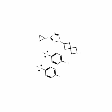 Cc1ccc(S(=O)(=O)O)cc1.Cc1ccc(S(=O)(=O)O)cc1.c1nc(C2CC2)nn1C1CC2(CNC2)C1